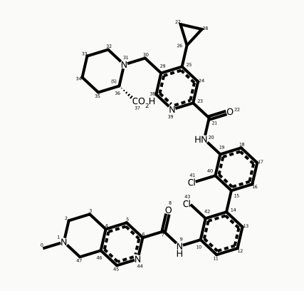 CN1CCc2cc(C(=O)Nc3cccc(-c4cccc(NC(=O)c5cc(C6CC6)c(CN6CCCC[C@H]6C(=O)O)cn5)c4Cl)c3Cl)ncc2C1